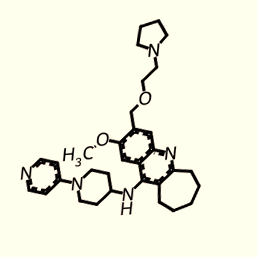 COc1cc2c(NC3CCN(c4ccncc4)CC3)c3c(nc2cc1COCCN1CCCC1)CCCCC3